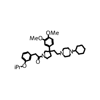 COc1ccc(C2(CCN3CCN(C4CCCCC4)CC3)CCN(C(=O)Cc3cccc(OC(C)C)c3)C2)cc1OC